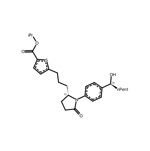 CCCCC[C@H](O)c1ccc(N2C(=O)CC[C@@H]2CCCc2ccc(C(=O)OC(C)C)s2)cc1